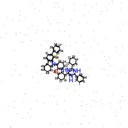 c1ccc(C2NC(C3CCCCC3)NC(C3CCCC4OC5C(CCCC5N5c6c(ccc7c6sc6ccccc67)C6CCCCC65)C43)N2)cc1